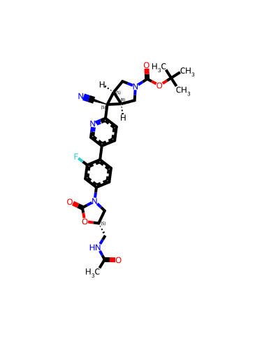 CC(=O)NC[C@H]1CN(c2ccc(-c3ccc([C@@]4(C#N)[C@@H]5CN(C(=O)OC(C)(C)C)C[C@@H]54)nc3)c(F)c2)C(=O)O1